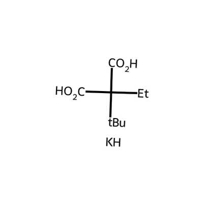 CCC(C(=O)O)(C(=O)O)C(C)(C)C.[KH]